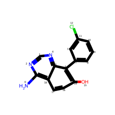 Nc1ncnc2c(-c3cccc(Cl)c3)c(O)ccc12